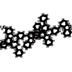 Cc1ccccc1-c1cc2c(cc1-c1ccc(-c3ccc(-n4c5ccc(C(F)(F)F)cc5c5cc(C(F)(F)F)ccc54)c(-c4nc(-c5ccccc5)nc(-c5ccccc5)n4)c3)c3c1oc1ccccc13)c1ccccc1n2-c1ccc(-c2cccc3oc4ccccc4c23)cc1-c1nc(-c2ccccc2)nc(-c2ccccc2)n1